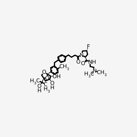 Cc1ccc([C@@]23OC[C@@](C(C)(C)O)(C[C@H](O)[C@H]2O)O3)cc1Cc1ccc(CCCC(=O)N2C[C@H](F)C[C@H]2C(=O)NCCN(C)C)cc1